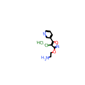 Cl.NCCOc1noc(-c2cccnc2)c1Cl